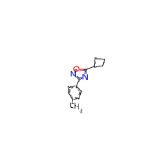 Cc1ccc(-c2noc(C3CCC3)n2)cc1